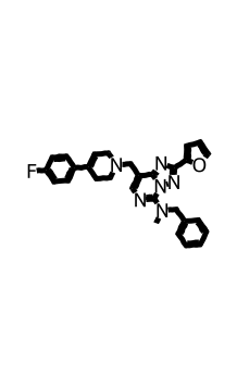 CN(Cc1ccccc1)c1ncc(CN2CC=C(c3ccc(F)cc3)CC2)c2nc(-c3ccco3)nn12